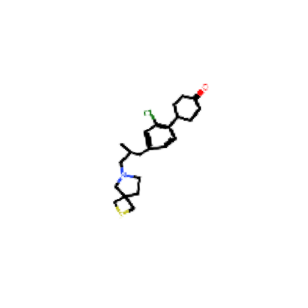 CC(Cc1ccc(C2CCC(=O)CC2)c(Cl)c1)CN1CCC2(CSC2)C1